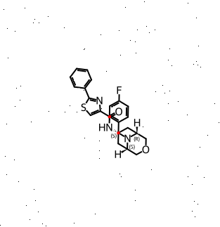 O=C(N[C@H]1C[C@H]2COC[C@@H](C1)N2Cc1ccc(F)cc1)c1csc(-c2ccccc2)n1